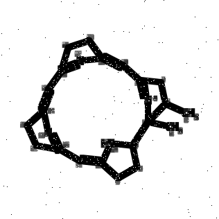 CC1CC2=NC1(C)C1CCC(=CC3=NC(=CC4=NC(=C2)CC4)CC3)N1